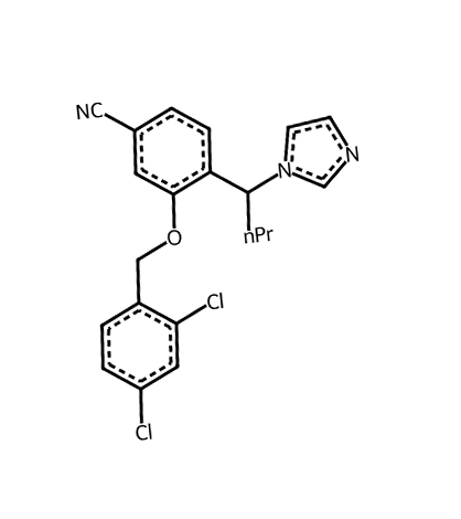 CCCC(c1ccc(C#N)cc1OCc1ccc(Cl)cc1Cl)n1ccnc1